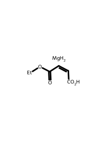 CCOC(=O)/C=C\C(=O)O.[MgH2]